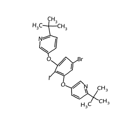 CC(C)(C)c1ccc(Oc2cc(Br)cc(Oc3ccc(C(C)(C)C)nc3)c2I)cn1